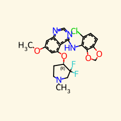 COc1cc(O[C@@H]2CCN(C)CC2(F)F)c2c(Nc3c(Cl)ccc4c3OCO4)ncnc2c1